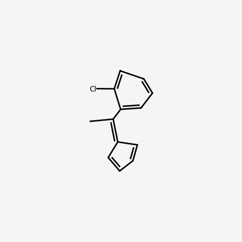 CC(=C1C=CC=C1)c1ccccc1Cl